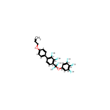 C=CCOc1ccc(-c2ccc(C(F)(F)Oc3cc(F)c(F)c(F)c3)c(F)c2F)cc1